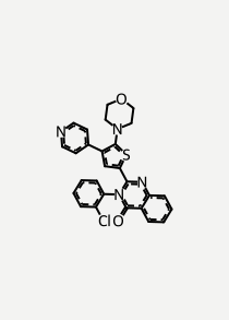 O=c1c2ccccc2nc(-c2cc(-c3ccncc3)c(N3CCOCC3)s2)n1-c1ccccc1Cl